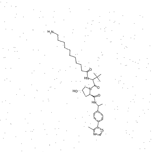 Cc1ncsc1-c1ccc(C(C)NC(=O)[C@H]2C[C@H](O)CN2C(=O)C(NC(=O)CCCCCCCCCCN)C(C)(C)C)cc1